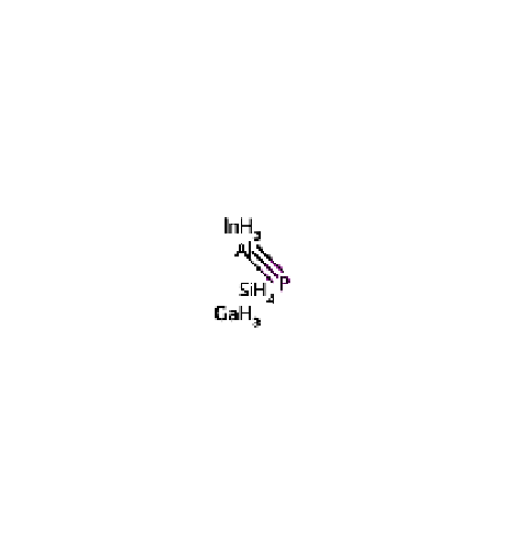 [Al]#[P].[GaH3].[InH3].[SiH4]